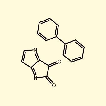 O=c1nc2ccnc-2c1=O.c1ccc(-c2ccccc2)cc1